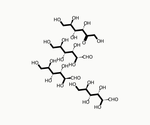 O=C(CO)[C@@H](O)[C@H](O)[C@H](O)CO.O=C[C@@H](O)[C@@H](O)[C@H](O)[C@H](O)CO.O=C[C@H](O)[C@@H](O)[C@H](O)[C@H](O)CO.O=C[C@H](O)[C@@H](O)[C@H](O)[C@H](O)CO